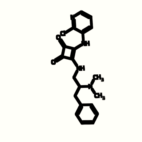 CN(C)C(CNc1c(Nc2cccnc2Cl)c(=O)c1=O)Cc1ccccc1